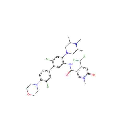 CC1CN(c2cc(F)c(-c3ccc(N4CCOCC4)c(F)c3)cc2NC(=O)c2cn(C)c(=O)cc2C(F)F)CC(C)N1C